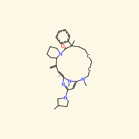 C=C1/C=C2/N=C(N3CCC(C)C3)C=C(N(C)CCCCCCC(C)(c3ccccc3)C(=O)N3CCCCC13)N2C